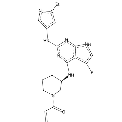 C=CC(=O)N1CCC[C@@H](Nc2nc(Nc3cnn(CC)c3)nc3[nH]cc(F)c23)C1